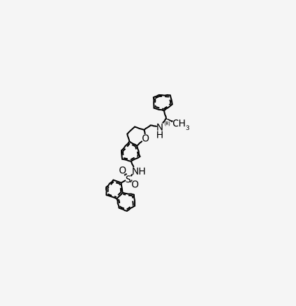 C[C@@H](NCC1CCc2ccc(NS(=O)(=O)c3cccc4ccccc34)cc2O1)c1ccccc1